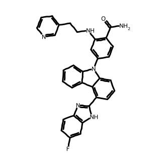 NC(=O)c1ccc(-n2c3ccccc3c3c(-c4nc5ccc(F)cc5[nH]4)cccc32)cc1NCCc1cccnc1